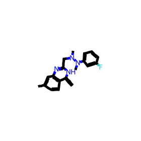 C=C1NC(CN(C)N(C)c2cccc(F)c2)=Nc2cc(C)ccc21